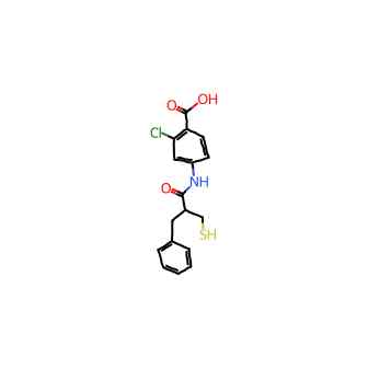 O=C(O)c1ccc(NC(=O)C(CS)Cc2ccccc2)cc1Cl